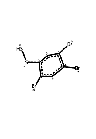 SSc1cc(Br)c(Br)cc1Br